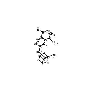 CC(C)c1nc(NC2=C3C4CC3CC(O)(C2)C4)ncc1C(=O)O